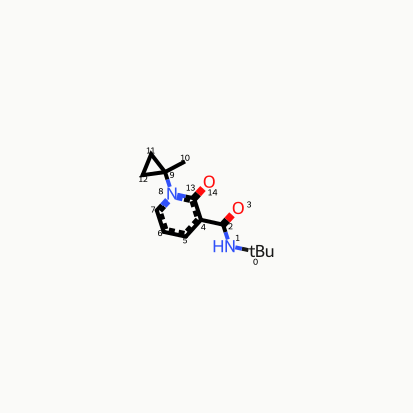 CC(C)(C)NC(=O)c1cccn(C2(C)CC2)c1=O